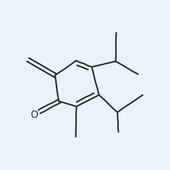 C=C1C=C(C(C)C)C(C(C)C)=C(C)C1=O